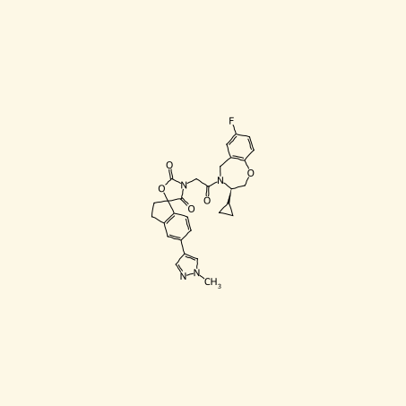 Cn1cc(-c2ccc3c(c2)CCC32OC(=O)N(CC(=O)N3Cc4cc(F)ccc4OC[C@H]3C3CC3)C2=O)cn1